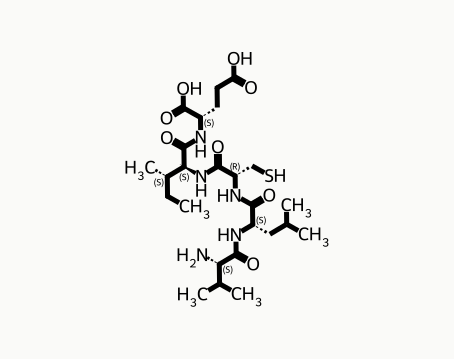 CC[C@H](C)[C@H](NC(=O)[C@H](CS)NC(=O)[C@H](CC(C)C)NC(=O)[C@@H](N)C(C)C)C(=O)N[C@@H](CCC(=O)O)C(=O)O